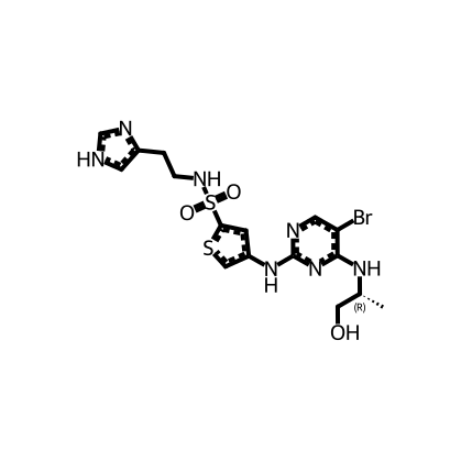 C[C@H](CO)Nc1nc(Nc2csc(S(=O)(=O)NCCc3c[nH]cn3)c2)ncc1Br